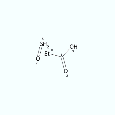 CCC(=O)O.O=[SH2]